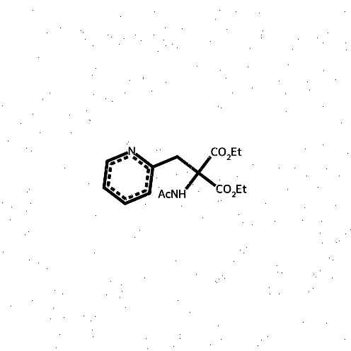 CCOC(=O)C(Cc1ccccn1)(NC(C)=O)C(=O)OCC